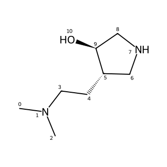 CN(C)CC[C@H]1CNC[C@@H]1O